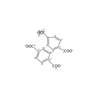 O=C([O-])c1ccc(C(=O)[O-])cc1.O=C([O-])c1ccc(C(=O)[O-])cc1.[Ti+4]